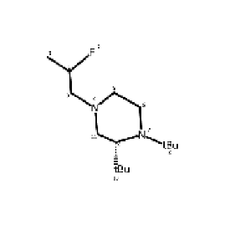 CC(F)CN1CCN(C(C)(C)C)[C@H](C(C)(C)C)C1